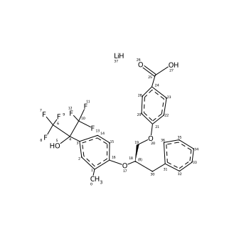 Cc1cc(C(O)(C(F)(F)F)C(F)(F)F)ccc1O[C@@H](COc1ccc(C(=O)O)cc1)Cc1ccccc1.[LiH]